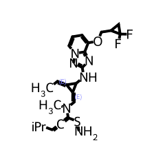 C/C=C1\C(=C/N(C)C(=C=CC(C)C)SN)C1Nc1nc2c(OCC3CC3(F)F)cccn2n1